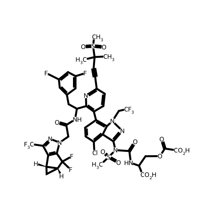 CC(C)(C#Cc1ccc(-c2ccc(Cl)c3c(N(C(=O)NC(COC(=O)C(=O)O)C(=O)O)S(C)(=O)=O)nn(CC(F)(F)F)c23)c(C(Cc2cc(F)cc(F)c2)NC(=O)Cn2nc(C(F)(F)F)c3c2C(F)(F)[C@@H]2C[C@H]32)n1)S(C)(=O)=O